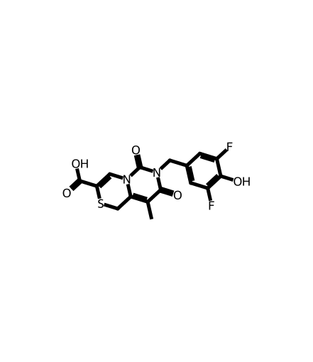 Cc1c2n(c(=O)n(Cc3cc(F)c(O)c(F)c3)c1=O)C=C(C(=O)O)SC2